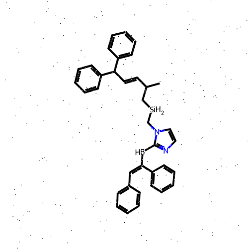 CC(C=CC(c1ccccc1)c1ccccc1)C[SiH2]Cn1ccnc1BC(=Cc1ccccc1)c1ccccc1